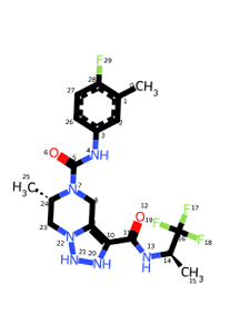 Cc1cc(NC(=O)N2CC3=C(C(=O)N[C@H](C)C(F)(F)F)NNN3C[C@@H]2C)ccc1F